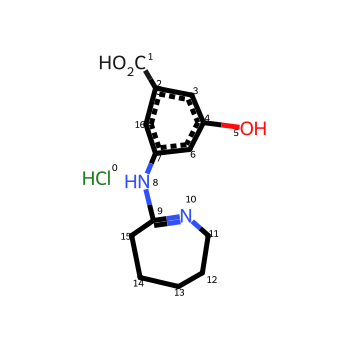 Cl.O=C(O)c1cc(O)cc(NC2=NCCCCC2)c1